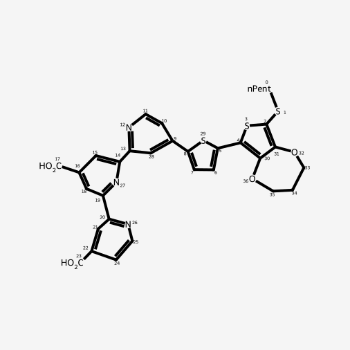 CCCCCSc1sc(-c2ccc(-c3ccnc(-c4cc(C(=O)O)cc(-c5cc(C(=O)O)ccn5)n4)c3)s2)c2c1OCCCO2